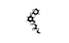 CCOC(=O)CNCc1cccc(OC2CCCCO2)c1